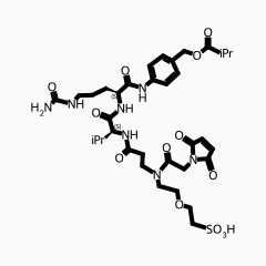 CC(C)C(=O)OCc1ccc(NC(=O)[C@H](CCCNC(N)=O)NC(=O)[C@@H](NC(=O)CCN(CCOCCS(=O)(=O)O)C(=O)CN2C(=O)C=CC2=O)C(C)C)cc1